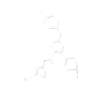 CCN1CCN(Cc2ccc(NC(=O)c3ccc(C#N)o3)c(C3=CCC(C)(C)CC3)c2)CC1